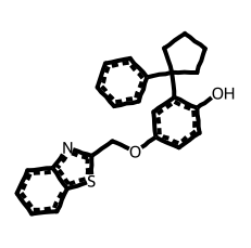 Oc1ccc(OCc2nc3ccccc3s2)cc1C1(c2ccccc2)CCCC1